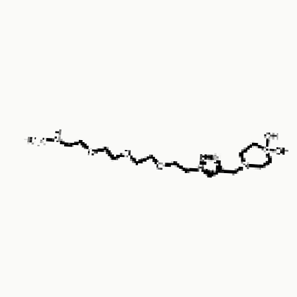 O=C(O)NCCOCCOCCOCCn1cc(CN2CCS(O)(O)CC2)nn1